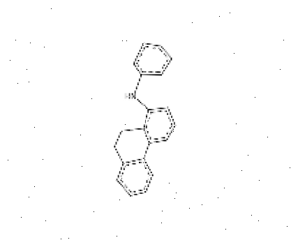 c1ccc(Nc2cccc3c2CCc2ccccc2-3)cc1